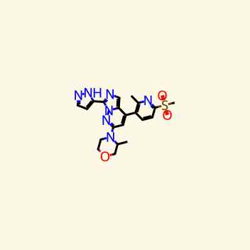 Cc1nc(S(C)(=O)=O)ccc1-c1cc(N2CCOCC2C)nn2c(-c3ccn[nH]3)ncc12